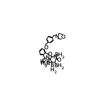 BC1C(=O)N(B)C(=O)C(B)(N2Cc3c(OCc4ccc(CN5CCOCC5)cc4)cccc3C2=O)C1(B)B